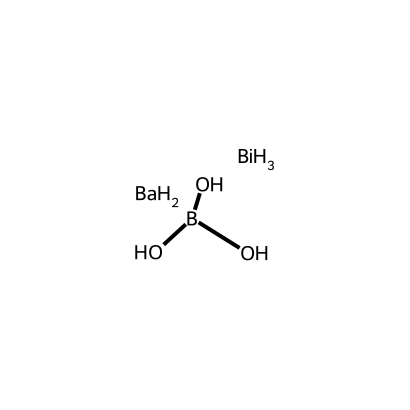 OB(O)O.[BaH2].[BiH3]